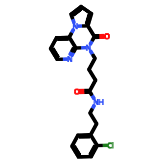 O=C(CCCn1c(=O)c2cccn2c2cccnc21)NCCc1ccccc1Cl